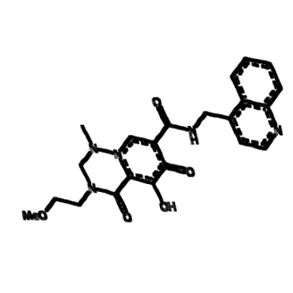 COCCN1CN(C)n2cc(C(=O)NCc3ccnc4ccccc34)c(=O)c(O)c2C1=O